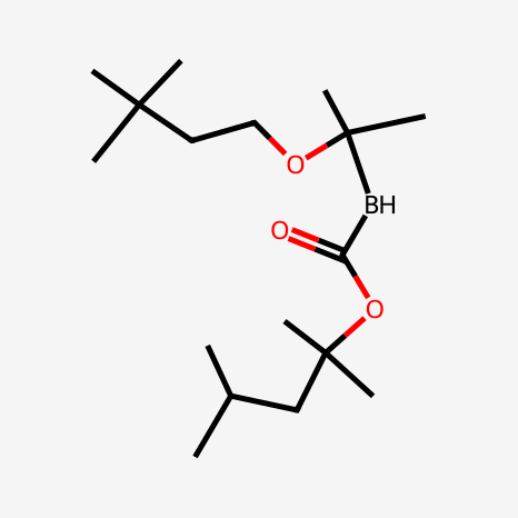 CC(C)CC(C)(C)OC(=O)BC(C)(C)OCCC(C)(C)C